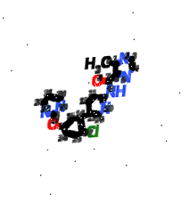 Cc1nccnc1C(=O)Nc1ccc(-c2cc(Oc3ncccn3)ccc2Cl)cn1